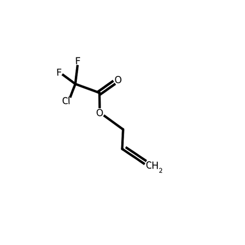 C=CCOC(=O)C(F)(F)Cl